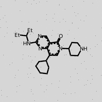 CCC(CC)Nc1ncc2c(=O)n(C3CCNCC3)cc(C3CCCCC3)c2n1